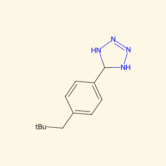 CC(C)(C)Cc1ccc(C2NN=NN2)cc1